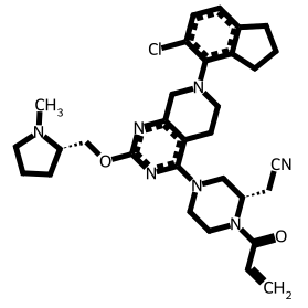 C=CC(=O)N1CCN(c2nc(OC[C@@H]3CCCN3C)nc3c2CCN(c2c(Cl)ccc4c2CCC4)C3)C[C@@H]1CC#N